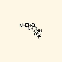 CC(C)(C)OC(=O)NCCC1CCN(c2ccc(Cl)cc2N)C1